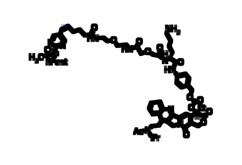 CCCCCC(C)(C)Sc1ncc(/C=C\CCCC(=O)NCCOCCNC(=O)COCC(=O)N[C@@H](CCCCN)C(=O)Nc2ccc(COC(=O)O[C@]3(CC)C(=O)OCc4c3cc3n(c4=O)Cc4c-3nc3ccccc3c4CCN(C(C)=O)C(C)C)cc2)cn1